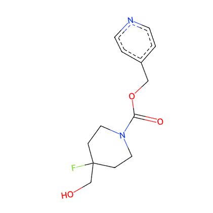 O=C(OCc1ccncc1)N1CCC(F)(CO)CC1